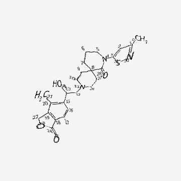 Cc1cc(N2CCCC3(CCN(CC(O)c4ccc5c(c4C)COC5=O)CC3)C2=O)sn1